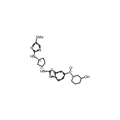 CSc1cnc(N[C@H]2CC[C@H](Nc3nc4ccc([S+]([O-])N5CCCC(O)C5)cc4s3)C2)nc1